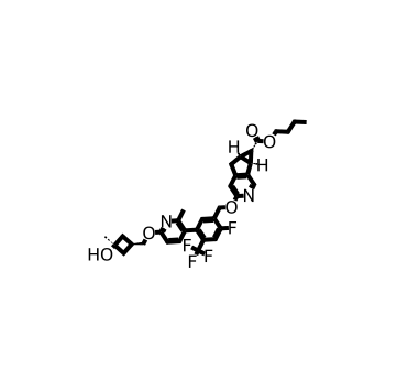 CCCCOC(=O)[C@H]1[C@@H]2Cc3cc(OCc4cc(-c5ccc(OC[C@H]6C[C@@](C)(O)C6)nc5C)c(C(F)(F)F)cc4F)ncc3[C@@H]21